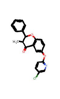 CC1C(=O)c2cc(Oc3ccc(Cl)cn3)ccc2OC1c1ccccc1